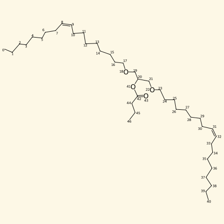 CCCCCCCC/C=C\CCCCCCCCOCC(COCCCCCCCC/C=C\CCCCCCCC)OC(=O)CCC